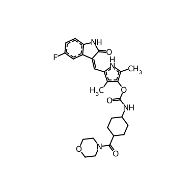 Cc1[nH]c(/C=C2\C(=O)Nc3ccc(F)cc32)c(C)c1OC(=O)NC1CCC(C(=O)N2CCOCC2)CC1